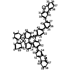 c1ccc(C2(c3ccccc3)c3ccccc3-c3c(N(c4ccc(-c5cccc(-c6ccc7oc8ccccc8c7c6)c5)cc4)c4ccc(-c5ccc6c(c5)sc5ccccc56)cc4)cccc32)cc1